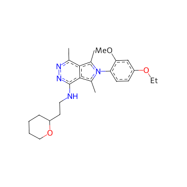 CCOc1ccc(-n2c(C)c3c(C)nnc(NCCC4CCCCO4)c3c2C)c(OC)c1